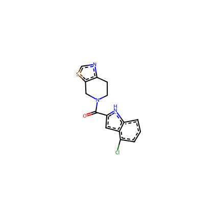 O=C(c1cc2c(Cl)cccc2[nH]1)N1CCc2ncsc2C1